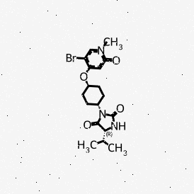 CC(C)[C@H]1NC(=O)N([C@H]2CC[C@H](Oc3cc(=O)n(C)cc3Br)CC2)C1=O